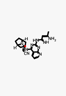 C/C(N)=C/C(=N)Nc1nc(N[C@@H]2C[C@H]3CC[C@@H](C2)N3CCC#N)c2cccnc2n1